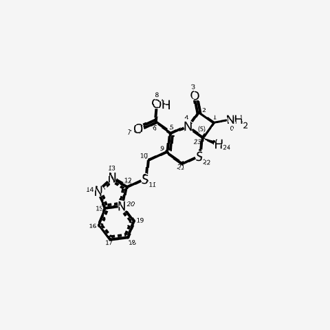 NC1C(=O)N2C(C(=O)O)=C(CSc3nnc4ccccn34)CS[C@@H]12